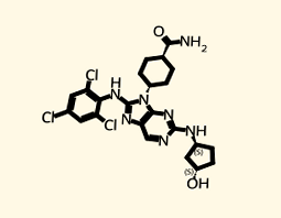 NC(=O)[C@H]1CC[C@H](n2c(Nc3c(Cl)cc(Cl)cc3Cl)nc3cnc(N[C@H]4CC[C@H](O)C4)nc32)CC1